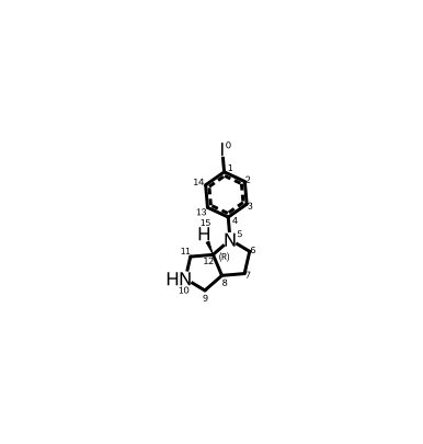 Ic1ccc(N2CCC3CNC[C@@H]32)cc1